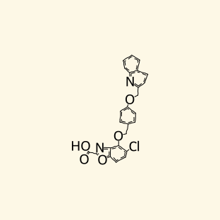 O=C(O)c1nc2c(OCc3ccc(OCc4ccc5ccccc5n4)cc3)c(Cl)ccc2o1